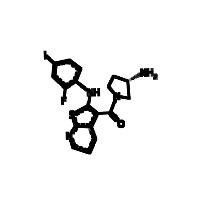 N[C@H]1CCN(C(=O)c2c(Nc3ccc(I)cc3F)sc3ncccc23)C1